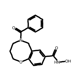 O=C(NO)c1ccc2c(c1)CN(C(=O)c1ccccc1)CCCO2